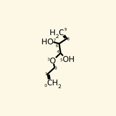 C=CCOC(O)C(O)C=C